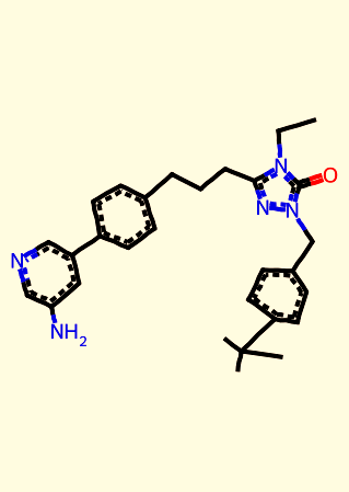 CCn1c(CCCc2ccc(-c3cncc(N)c3)cc2)nn(Cc2ccc(C(C)(C)C)cc2)c1=O